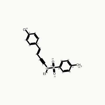 CCN(C#C/C=C/c1ccc(Cl)cc1)S(=O)(=O)c1ccc(C)cc1